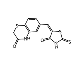 O=C1CSc2ccc(C=C3SC(=S)NC3=O)cc2N1